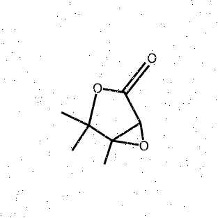 CC1(C)OC(=O)C2OC21C